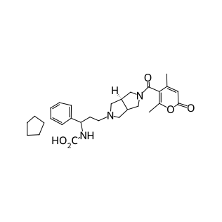 C1CCCC1.Cc1cc(=O)oc(C)c1C(=O)N1CC2CN(CCC(NC(=O)O)c3ccccc3)C[C@H]2C1